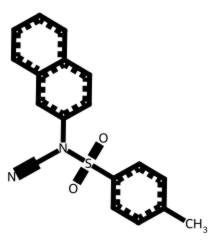 Cc1ccc(S(=O)(=O)N(C#N)c2ccc3ccccc3c2)cc1